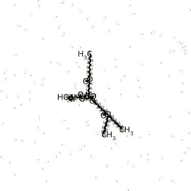 CCCCCCCCCCCOC(=O)CCCCCN1C[C@@H](OC(=O)CCN2CC[C@H](O)C2)CC1C(=O)OCCCCCCCC(=O)OC(CCCCCCCC)CCCCCCCC